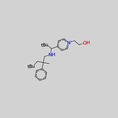 CC(C)(C)CC(C)(CNC(c1cc[n+](CCO)cc1)C(C)(C)C)c1ccccc1